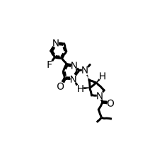 CC(C)CC(=O)N1C[C@@H]2[C@H](C1)[C@@H]2N(C)c1nc(-c2ccncc2F)cc(=O)n1C